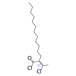 CCCCCCCCCCCC/C(C(=O)Cl)=C(\C)Cl